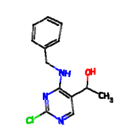 CC(O)c1cnc(Cl)nc1NCc1ccccc1